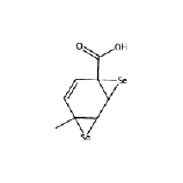 CC12C=CC3(C(=O)O)[Se]C3C1[Se]2